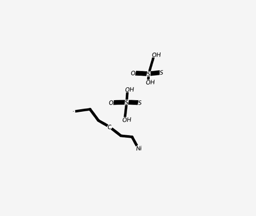 O=S(O)(O)=S.O=S(O)(O)=S.[CH2]CCCC[CH2][Ni]